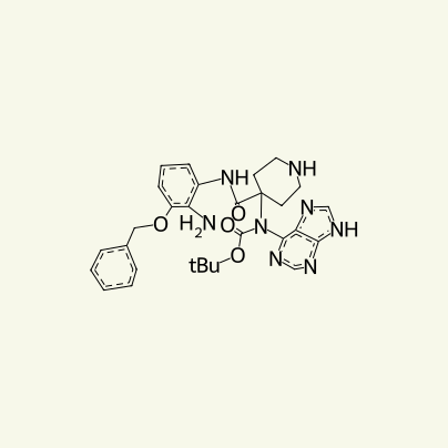 CC(C)(C)OC(=O)N(c1ncnc2[nH]cnc12)C1(C(=O)Nc2cccc(OCc3ccccc3)c2N)CCNCC1